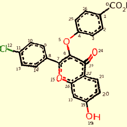 O=C(O)c1ccc(Oc2c(-c3ccc(Cl)cc3)oc3cc(O)ccc3c2=O)cc1